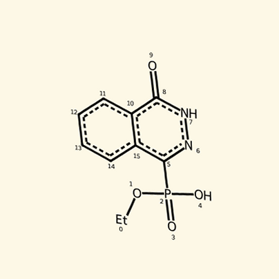 CCOP(=O)(O)c1n[nH]c(=O)c2ccccc12